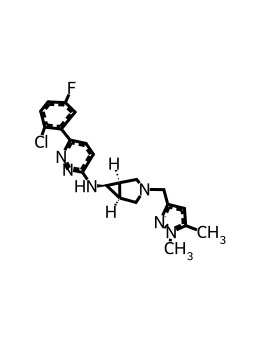 Cc1cc(CN2C[C@@H]3[C@H](C2)[C@@H]3Nc2ccc(-c3cc(F)ccc3Cl)nn2)nn1C